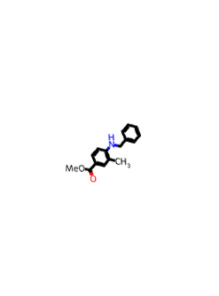 COC(=O)c1ccc(NCc2ccccc2)c(C)c1